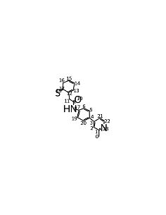 Cc1cc(-c2ccc(NC(=O)CC3=CC=CCC3=S)cc2)ccn1